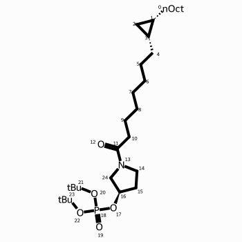 CCCCCCCC[C@H]1C[C@H]1CCCCCCCC(=O)N1CC[C@@H](OP(=O)(OC(C)(C)C)OC(C)(C)C)C1